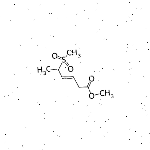 COC(=O)CC=CC(C)S(C)(=O)=O